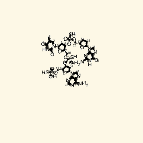 Cc1cn([C@H]2C[C@H](OP(=O)(S)OC[C@@H]3CC[C@H](n4cnc5c(=O)[nH]c(N)nc54)O3)[C@@H](COP(=O)(S)O[C@H]3C[C@H](n4cnc5c(N)ncnc54)O[C@@H]3COP(=O)(O)S)O2)c(=O)[nH]c1=O